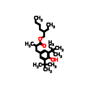 CCCCC(CC)COC(=O)C(C)Cc1cc(C(C)(C)C)c(O)c(C(C)(C)C)c1